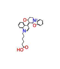 O=C(O)CCCCCN1C=CC2=C3c4oc5ccccc5[n+]4CCC3Oc3cccc1c32